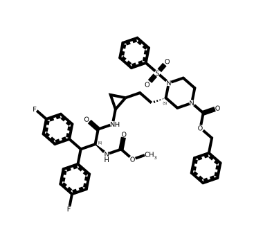 COC(=O)N[C@H](C(=O)NC1CC1CC[C@H]1CN(C(=O)OCc2ccccc2)CCN1S(=O)(=O)c1ccccc1)C(c1ccc(F)cc1)c1ccc(F)cc1